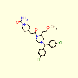 COCC[C@H]1CN(C(c2ccc(Cl)cc2)c2ccc(Cl)cc2)CCN1C(=O)CC1CCN(C(N)=O)CC1